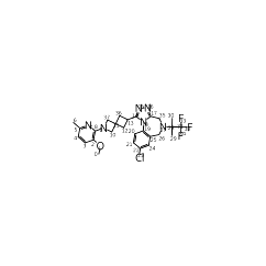 COc1ccc(C)nc1N1CC2(CC(c3nnc4n3-c3ccc(Cl)cc3CN(C(C)(C)C(F)(F)F)C4)C2)C1